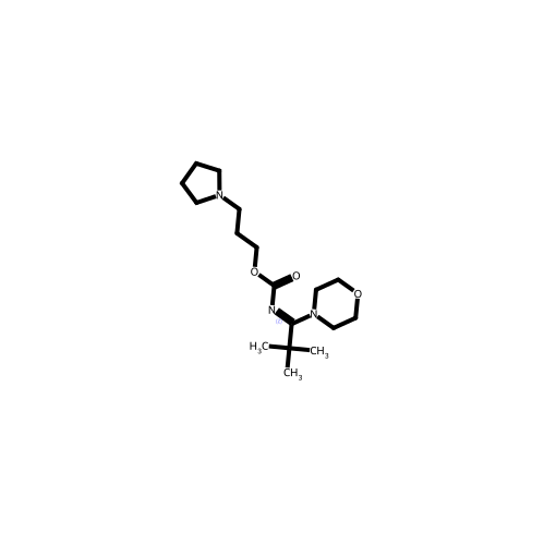 CC(C)(C)/C(=N/C(=O)OCCCN1CCCC1)N1CCOCC1